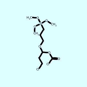 CO[Si](CCCOC([CH]CCl)OC(=O)Cl)(OC)OC